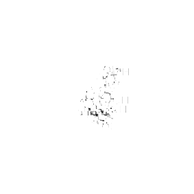 CC(=O)NC1[C@H](O)OC(CO)[C@@H](O[C@@H]2O[C@@H](CO)[C@H](O)C(C)C2O[C@@H]2O[C@@H](C)[C@@H](O)C(O)C2O)[C@@H]1O[C@@H]1OC(C)[C@@H](O)[C@H](O)C1O